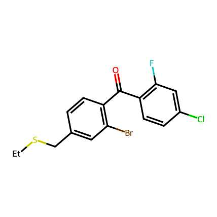 CCSCc1ccc(C(=O)c2ccc(Cl)cc2F)c(Br)c1